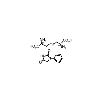 N[C@@H](CSSC[C@H](N)C(=O)O)C(=O)O.O=C1CN(c2ccccc2)C(=O)N1